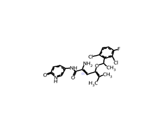 CC(C)=C(/C=C(\N)C(=O)Nc1ccc(=O)[nH]c1)OC(C)c1c(Cl)ccc(F)c1Cl